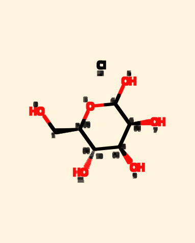 OC[C@H]1OC(O)[C@@H](O)[C@@H](O)[C@@H]1O.[C]